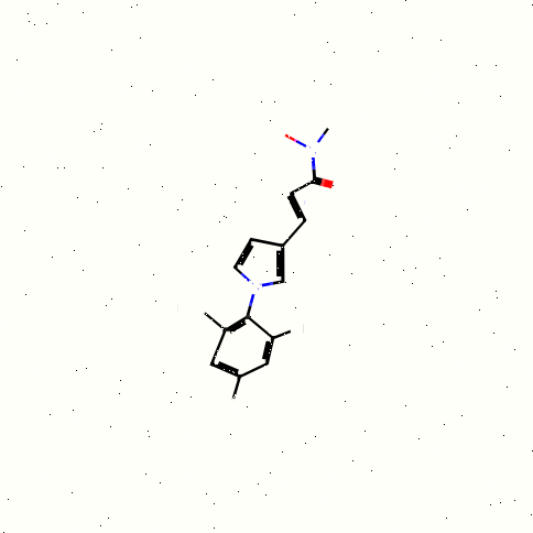 Cc1cc(C)c(-n2ccc(/C=C/C(=O)N(C)O)c2)c(C)c1